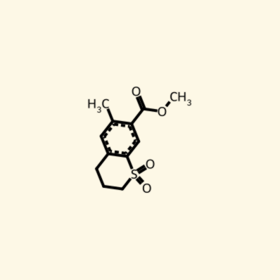 COC(=O)c1cc2c(cc1C)CCCS2(=O)=O